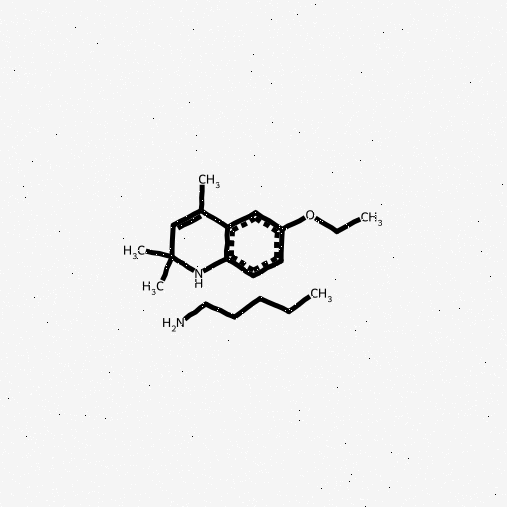 CCCCCN.CCOc1ccc2c(c1)C(C)=CC(C)(C)N2